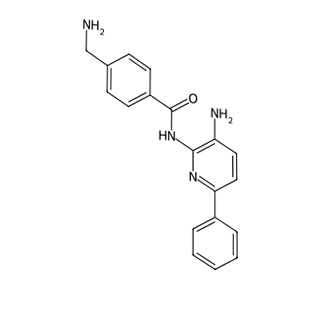 NCc1ccc(C(=O)Nc2nc(-c3ccccc3)ccc2N)cc1